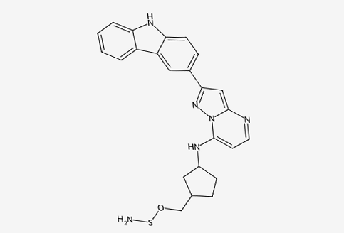 NSOCC1CCC(Nc2ccnc3cc(-c4ccc5[nH]c6ccccc6c5c4)nn23)C1